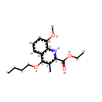 CCCCOc1c(C)c(C(=O)OCC)nc2c(OC)cccc12